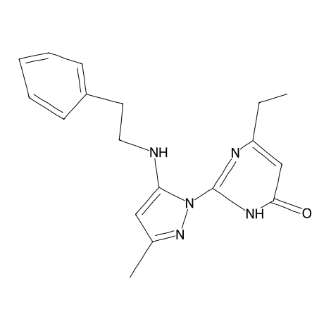 CCc1cc(=O)[nH]c(-n2nc(C)cc2NCCc2ccccc2)n1